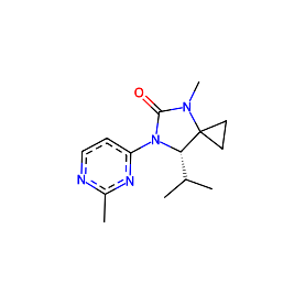 Cc1nccc(N2C(=O)N(C)C3(CC3)[C@@H]2C(C)C)n1